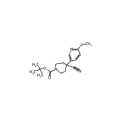 COc1ccc(C2(C#N)CCN(C(=O)OC(C)(C)C)CC2)cn1